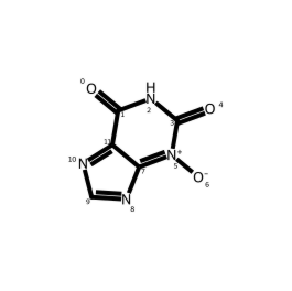 O=C1NC(=O)[N+]([O-])=C2N=CN=C12